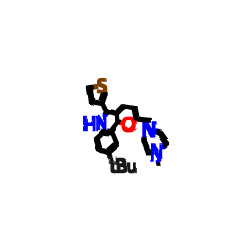 CN1CCN(CC2CCC3C(c4ccsc4)Nc4ccc(C(C)(C)C)cc4C3O2)CC1